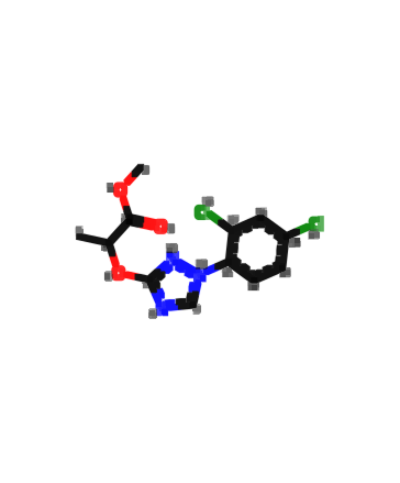 COC(=O)C(C)Oc1ncn(-c2ccc(Cl)cc2Cl)n1